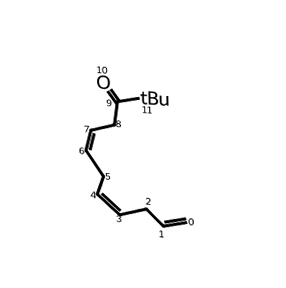 C=CC/C=C\C/C=C\CC(=O)C(C)(C)C